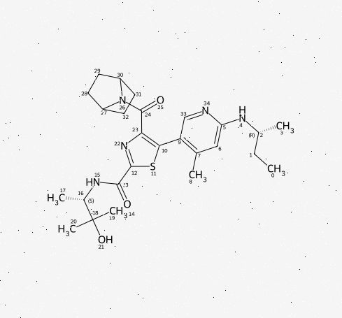 CC[C@@H](C)Nc1cc(C)c(-c2sc(C(=O)N[C@@H](C)C(C)(C)O)nc2C(=O)N2C3CCC2CC3)cn1